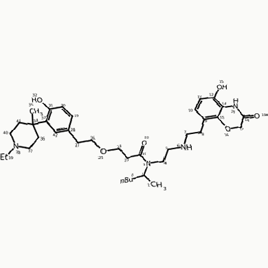 CCCCC(C)N(CCNCCc1ccc(O)c2c1OCC(=O)N2)C(=O)CCOCCc1ccc(O)c(C2(C)CCN(CC)CC2)c1